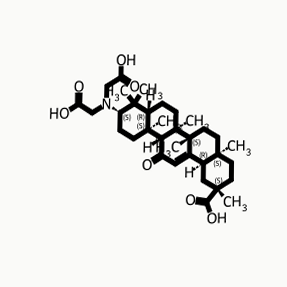 CC1(C)[C@@H](N(CC(=O)O)CC(=O)O)CC[C@]2(C)[C@H]3C(=O)C=C4[C@@H]5C[C@@](C)(C(=O)O)CC[C@]5(C)CC[C@@]4(C)[C@]3(C)CC[C@@H]12